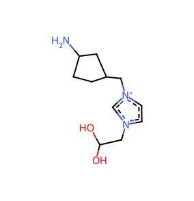 NC1CCC(C[n+]2ccn(CC(O)O)c2)C1